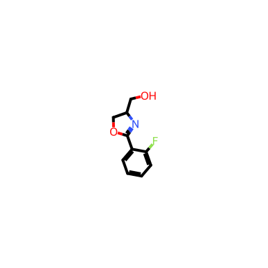 OCC1COC(c2ccccc2F)=N1